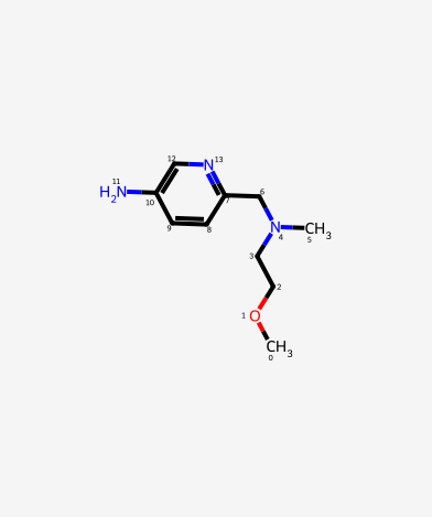 COCCN(C)Cc1ccc(N)cn1